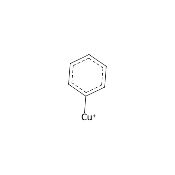 [Cu+][c]1ccccc1